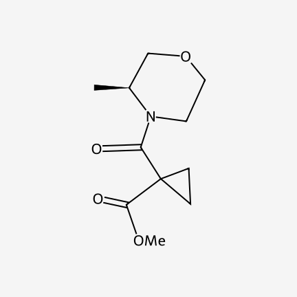 COC(=O)C1(C(=O)N2CCOC[C@@H]2C)CC1